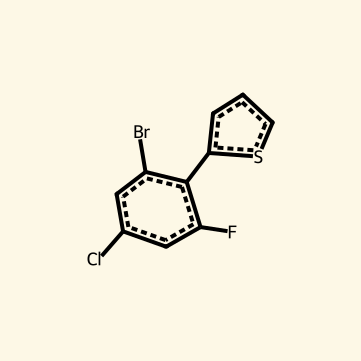 Fc1cc(Cl)cc(Br)c1-c1cccs1